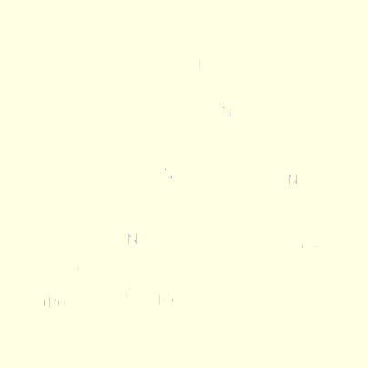 CC(C)(C)OC(=O)N1CCN(c2sc(C(F)(F)F)nc2-c2ccc(C(F)(F)F)nc2)C[C@@H]1CO